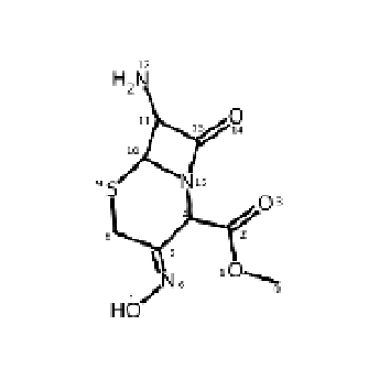 COC(=O)C1C(=NO)CSC2C(N)C(=O)N12